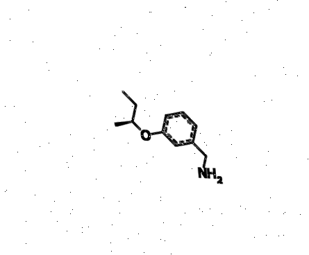 CC[C@H](C)Oc1cccc(CN)c1